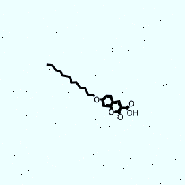 CCCCCCCCCCCCOc1ccc2cc(C(=O)O)c(=O)oc2c1